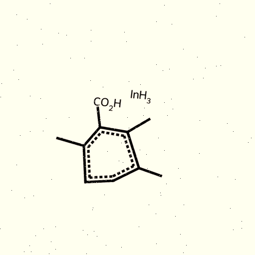 Cc1ccc(C)c(C(=O)O)c1C.[InH3]